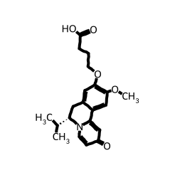 COc1cc2c(cc1OCCCC(=O)O)C[C@@H](C(C)C)n1ccc(=O)cc1-2